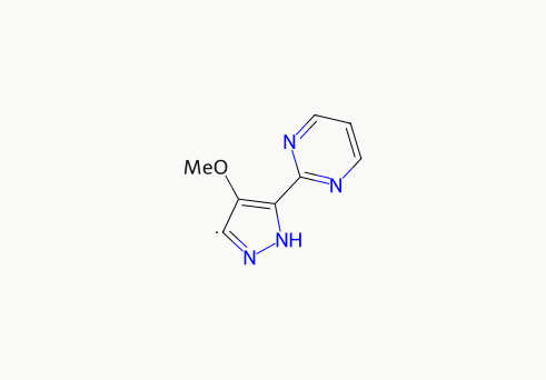 COc1[c]n[nH]c1-c1ncccn1